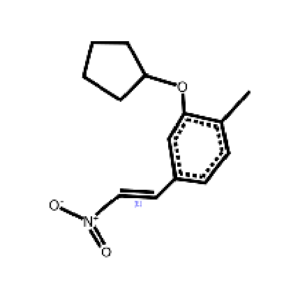 Cc1ccc(/C=C/[N+](=O)[O-])cc1OC1CCCC1